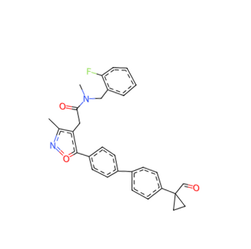 Cc1noc(-c2ccc(-c3ccc(C4(C=O)CC4)cc3)cc2)c1CC(=O)N(C)Cc1ccccc1F